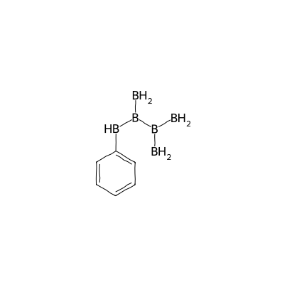 BB(B)B(B)Bc1ccccc1